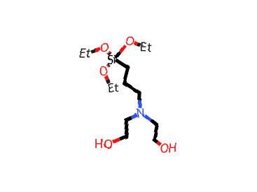 CCO[Si](CCCN(CCO)CCO)(OCC)OCC